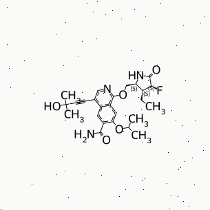 CC[C@@H]1[C@H](F)C(=O)N[C@@H]1COc1ncc(C#CC(C)(C)O)c2cc(C(N)=O)c(OC(C)C)cc12